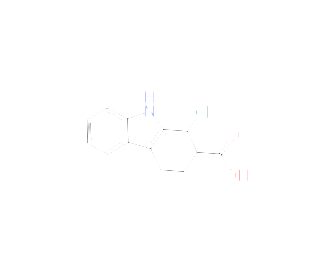 O=C(O)C1CCc2c([nH]c3ccccc23)C1Cl